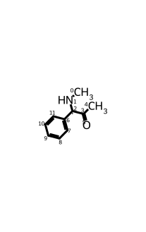 CN[C](C(C)=O)c1ccccc1